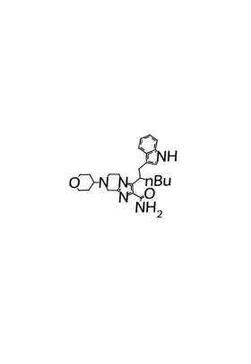 CCCCC(Cc1c[nH]c2ccccc12)c1c(C(N)=O)nc2n1CCN(C1CCOCC1)C2